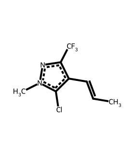 CC=Cc1c(C(F)(F)F)nn(C)c1Cl